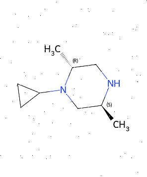 C[C@@H]1CN[C@@H](C)CN1C1CC1